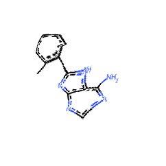 Cc1ccccc1-c1nc2ncnc(N)c2[nH]1